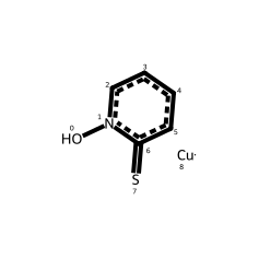 On1ccccc1=S.[Cu]